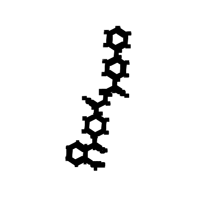 COc1ccccc1C(=O)N1CCN(C(=O)CNC(=O)c2ccc(-c3ccccc3)cc2)CC1